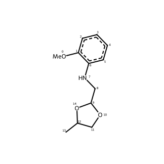 COc1ccccc1NCC1OCC(C)O1